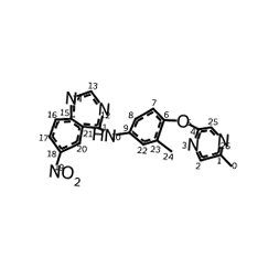 Cc1cnc(Oc2ccc(Nc3ncnc4ccc([N+](=O)[O-])cc34)cc2C)cn1